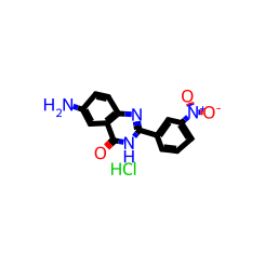 Cl.Nc1ccc2nc(-c3cccc([N+](=O)[O-])c3)[nH]c(=O)c2c1